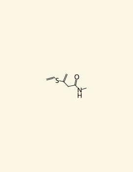 C=CSC(=C)CC(=O)NC